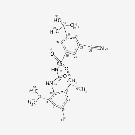 CC(C)c1cc(F)cc(C(C)C)c1NC(=O)NS(=O)(=O)c1cc(C#N)cc(C(C)(C)O)c1